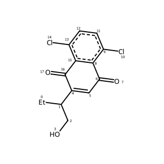 CCC(CO)C1=CC(=O)c2c(Cl)ccc(Cl)c2C1=O